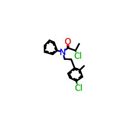 Cc1cc(Cl)ccc1CCN(C(=O)C(C)Cl)c1ccccc1